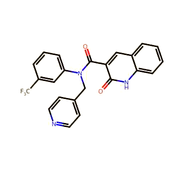 O=C(c1cc2ccccc2[nH]c1=O)N(Cc1ccncc1)c1cccc(C(F)(F)F)c1